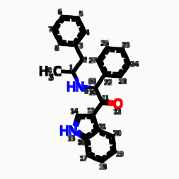 CC(Cc1ccccc1)N[C@H](C(=O)c1c[nH]c2ccccc12)c1ccccc1